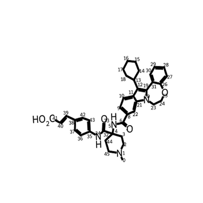 CN1CCC(NC(=O)c2ccc3c(C4CCCCC4)c4n(c3c2)CCOc2ccccc2-4)(C(=O)Nc2ccc(C=CC(=O)O)cc2)CC1